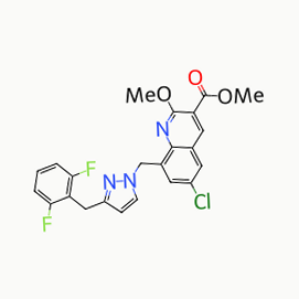 COC(=O)c1cc2cc(Cl)cc(Cn3ccc(Cc4c(F)cccc4F)n3)c2nc1OC